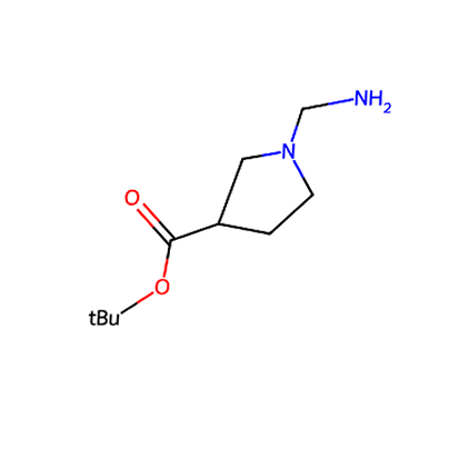 CC(C)(C)OC(=O)C1CCN(CN)C1